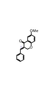 COc1ccc2c(c1)C(=O)/C(=C/c1ccccc1)CO2